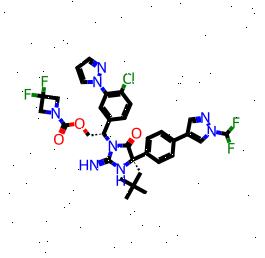 CC(C)(C)C[C@]1(c2ccc(-c3cnn(C(F)F)c3)cc2)NC(=N)N([C@H](COC(=O)N2CC(F)(F)C2)c2ccc(Cl)c(-n3cccn3)c2)C1=O